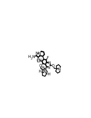 N#Cc1c(N)nn2cccc(-c3c(Cl)c4c5c(nc(OCC67CCCN6CCC7)nc5c3F)N3C[C@H]5CC[C@H](N5)[C@H]3CO4)c12